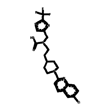 O=C(O)N(CCC1CCN(c2ccc3cc(Cl)ccc3n2)CC1)Cc1csc(C(F)(F)F)n1